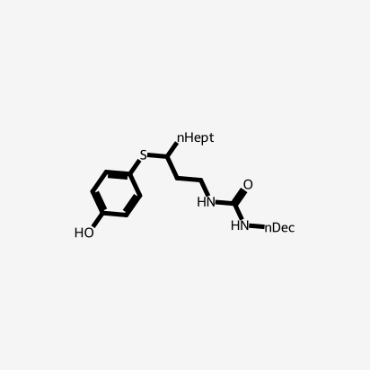 CCCCCCCCCCNC(=O)NCCC(CCCCCCC)Sc1ccc(O)cc1